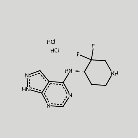 Cl.Cl.FC1(F)CNCC[C@@H]1Nc1ncnc2[nH]ncc12